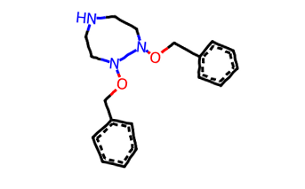 c1ccc(CON2CCNCCN2OCc2ccccc2)cc1